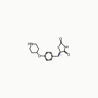 O=C1NC(=O)/C(=C/c2ccc(OC3CCNCC3)cc2)S1